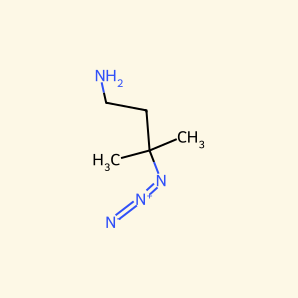 CC(C)(CCN)N=[N+]=[N-]